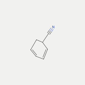 N#CC1C=CC=CC1